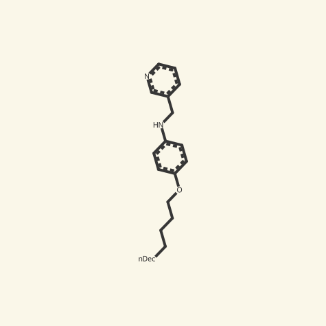 CCCCCCCCCCCCCCOc1ccc(NCc2cccnc2)cc1